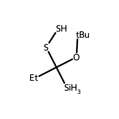 CCC([SiH3])(OC(C)(C)C)SS